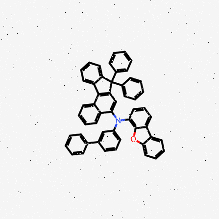 c1ccc(-c2cccc(N(c3cc4c(c5ccccc35)-c3ccccc3C4(c3ccccc3)c3ccccc3)c3cccc4c3oc3ccccc34)c2)cc1